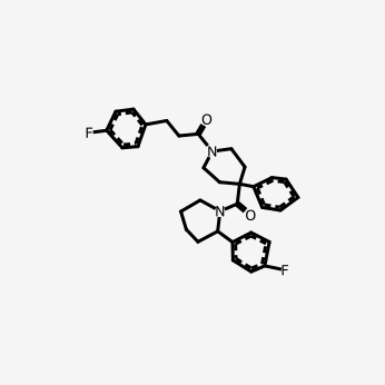 O=C(CCc1ccc(F)cc1)N1CCC(C(=O)N2CCCCC2c2ccc(F)cc2)(c2ccccc2)CC1